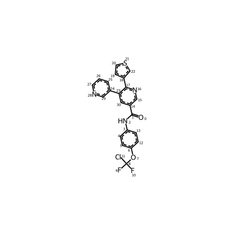 O=C(Nc1ccc(OC(F)(F)Cl)cc1)c1cnc(-c2ccsc2)c(-c2cccnc2)c1